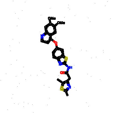 COc1cc2nccc(Oc3ccc4nc(NC(=O)Cc5nc(C)sc5C)sc4c3)c2cc1OC